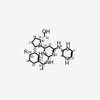 C[C@H](NC1N=C(N[C@H]2CNC=CN2)CC(N2CCC[C@@H]2CO)N1)C1=CC[C@@H](F)CC1